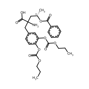 CCCOC(=O)Oc1ccc(CC(N)(C[C@H](C)OC(=O)c2ccccc2)C(=O)O)cc1OC(=O)OCCC